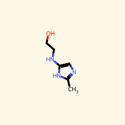 Cc1ncc(NCCO)[nH]1